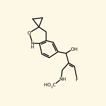 O=C(O)NC/C(=C\F)C(O)c1ccc2c(c1)CC1(CC1)ON2